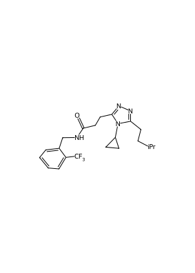 CC(C)CCc1nnc(CCC(=O)NCc2ccccc2C(F)(F)F)n1C1CC1